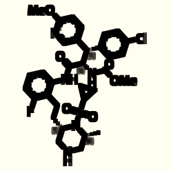 COC(=O)N[C@H](C(=O)Nc1cccc(F)c1CC[C@H]1CNC[C@@H](C)N1S(=O)(=O)C1CC1)[C@@H](c1ccc(Cl)cc1)c1ccc(OC)nc1